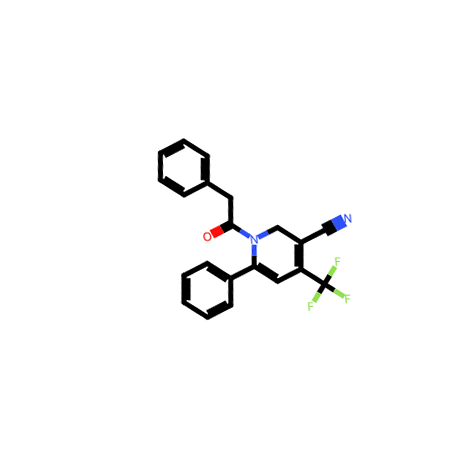 N#CC1=C(C(F)(F)F)C=C(c2ccccc2)N(C(=O)Cc2ccccc2)C1